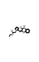 CCOC(=O)Cn1cccc1/C=C1/Sc2ccccc2NC1=O